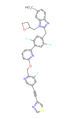 O=C(O)c1ccc2nc(Cc3cc(F)c(-c4cccc(OCc5ncc(C#Cc6cscn6)cc5F)n4)cc3F)n(CC3CCO3)c2c1